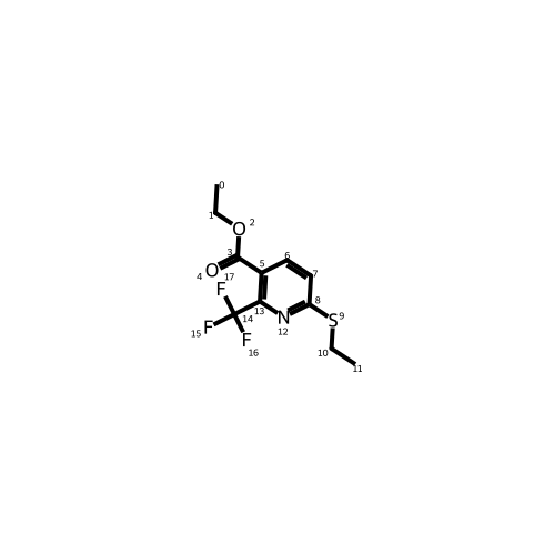 CCOC(=O)c1ccc(SCC)nc1C(F)(F)F